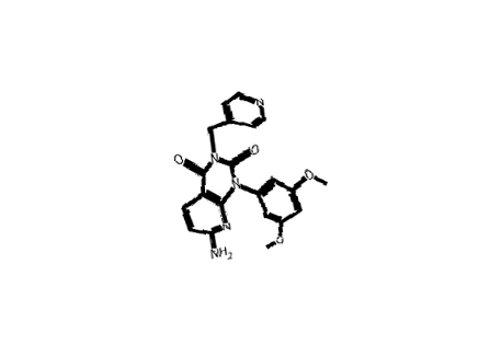 COc1cc(OC)cc(-n2c(=O)n(Cc3ccncc3)c(=O)c3ccc(N)nc32)c1